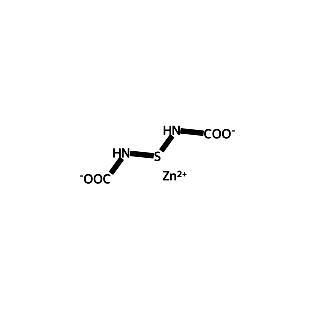 O=C([O-])NSNC(=O)[O-].[Zn+2]